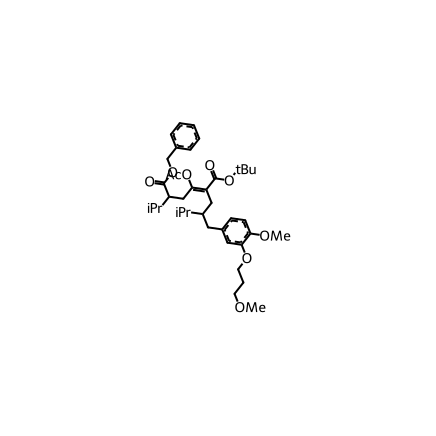 COCCCOc1cc(CC(CC(C(=O)OC(C)(C)C)=C(CC(C(=O)OCc2ccccc2)C(C)C)OC(C)=O)C(C)C)ccc1OC